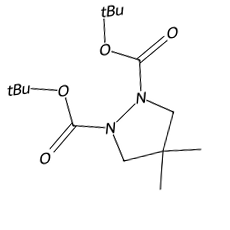 CC1(C)CN(C(=O)OC(C)(C)C)N(C(=O)OC(C)(C)C)C1